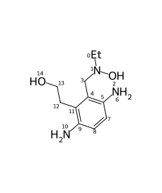 CCN(O)Cc1c(N)ccc(N)c1CCO